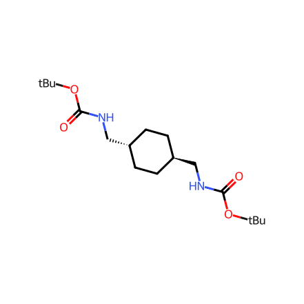 CC(C)(C)OC(=O)NC[C@H]1CC[C@H](CNC(=O)OC(C)(C)C)CC1